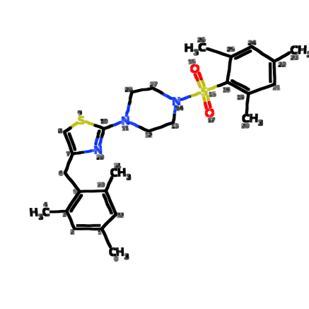 Cc1cc(C)c(Cc2csc(N3CCN(S(=O)(=O)c4c(C)cc(C)cc4C)CC3)n2)c(C)c1